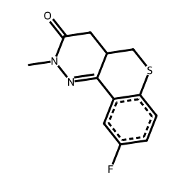 CN1N=C2c3cc(F)ccc3SCC2CC1=O